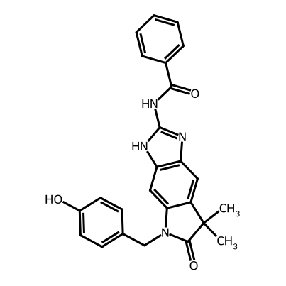 CC1(C)C(=O)N(Cc2ccc(O)cc2)c2cc3[nH]c(NC(=O)c4ccccc4)nc3cc21